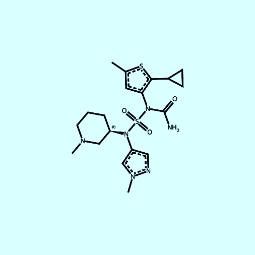 Cc1cc(N(C(N)=O)S(=O)(=O)N(c2cnn(C)c2)[C@@H]2CCCN(C)C2)c(C2CC2)s1